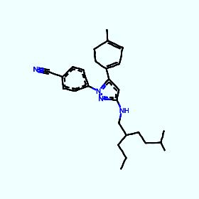 CCCC(CCC(C)C)CNc1cc(C2=CC=C(C)CC2)n(-c2ccc(C#N)cc2)n1